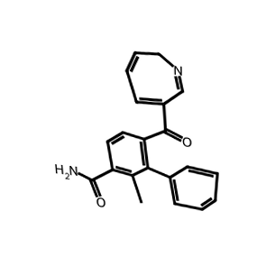 Cc1c(C(N)=O)ccc(C(=O)C2=CC=CCN=C2)c1-c1ccccc1